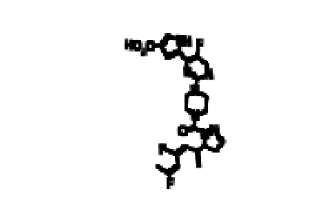 C=C(/C=C(F)\C=C(/C)F)[C@@H]1CC=NN1C(=O)N1CCN(c2ncc(F)c(-c3cc(C(=O)O)c[nH]3)n2)CC1